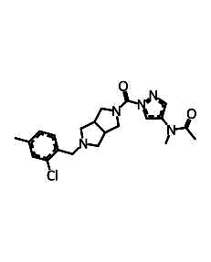 CC(=O)N(C)c1cnn(C(=O)N2CC3CN(Cc4ccc(C)cc4Cl)CC3C2)c1